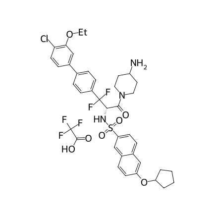 CCOc1cc(-c2ccc(C(F)(F)[C@@H](NS(=O)(=O)c3ccc4cc(OC5CCCC5)ccc4c3)C(=O)N3CCC(N)CC3)cc2)ccc1Cl.O=C(O)C(F)(F)F